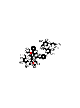 CC(C)CC(=O)OC1C(OC2C(CO)OC(Oc3ccc(C[C@H](NC(=O)[C@@H](N)C(C)c4ccccc4)C(=O)N[C@H](C(=O)N[C@H]([C]=O)CO)C(O)([Se]C4CNC(=N)N4)C4CNC(=N)N4C4OC(CO)C(O)C(O)C4O)cc3)C(O)C2O)OC(CO)C(O)C1O